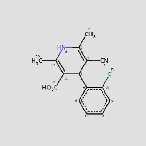 CC1=C(C#N)C(c2ccccc2Cl)C(C(=O)O)=C(C)N1